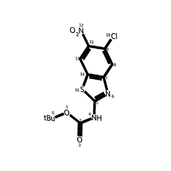 CC(C)(C)OC(=O)Nc1nc2cc(Cl)c([N+](=O)[O-])cc2s1